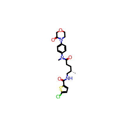 C[C@@H](CCC(=O)N(C)c1ccc(N2CCOCC2=O)cc1)CNC(=O)c1ccc(Cl)s1